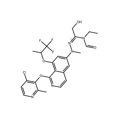 CCN(C=O)/C(CO)=N\N(C)c1cc(OC(C)C(F)(F)F)c2c(Oc3c(Cl)ccnc3C)nccc2c1